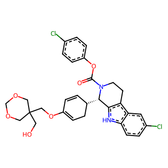 O=C(Oc1ccc(Cl)cc1)N1CCc2c([nH]c3ccc(Cl)cc23)[C@@H]1C1C=CC(OCC2(CO)COCOC2)=CC1